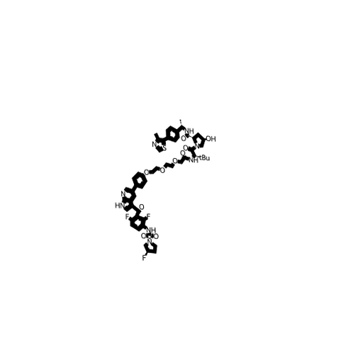 Cc1ncsc1-c1ccc([C@H](C)NC(=O)[C@@H]2C[C@@H](O)CN2C(=O)[C@@H](NC(=O)COCCOCCOc2ccc(-c3cnc4[nH]cc(C(=O)c5c(F)ccc(NS(=O)(=O)N6CC[C@@H](F)C6)c5F)c4c3)cc2)C(C)(C)C)cc1